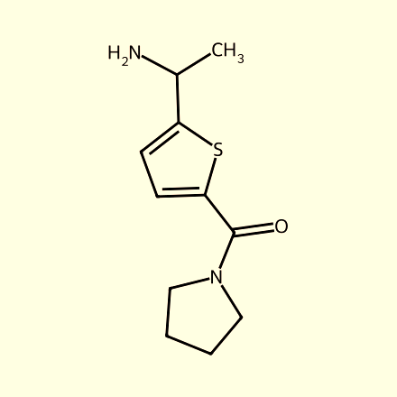 CC(N)c1ccc(C(=O)N2CCCC2)s1